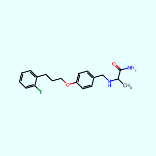 CC(NCc1ccc(OCCCc2ccccc2F)cc1)C(N)=O